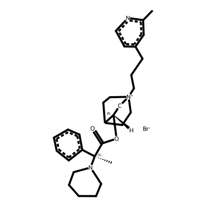 Cc1cc(CCC[N+]23CCC(CC2)[C@@H](OC(=O)[C@](C)(c2ccccc2)N2CCCCC2)C3)ccn1.[Br-]